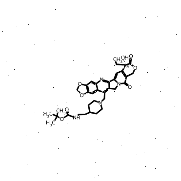 CC[C@@]1(O)C(=O)OCc2c1cc1n(c2=O)Cc2c-1nc1cc3c(cc1c2CN1CCC(CCNC(=O)OC(C)(C)C)CC1)OCO3